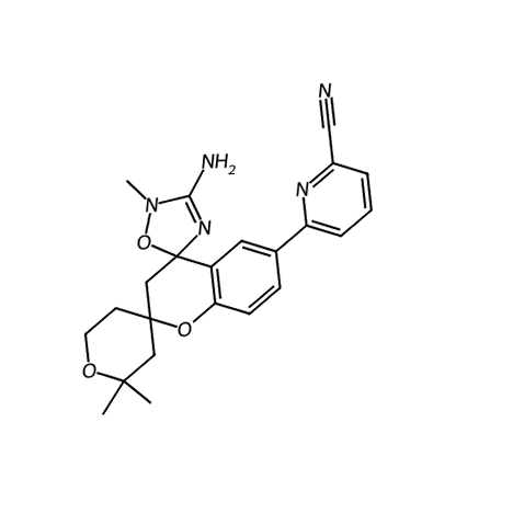 CN1OC2(CC3(CCOC(C)(C)C3)Oc3ccc(-c4cccc(C#N)n4)cc32)N=C1N